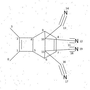 CC1=C(C)C2C1C1C=CC2C(C#N)(C#N)C1(C#N)C#N